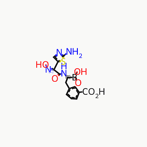 Nc1ncc(/C(=N\O)C(=O)N[C@H]2Cc3cccc(C(=O)O)c3OB2O)s1